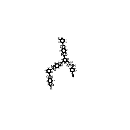 C#Cc1ccc(NC(=O)Nc2cc(-c3nc4cc5oc(-c6cccc(C)c6)nc5cc4o3)cc(-c3nc4cc5oc(-c6cccc(-c7nc8cc9oc(C)nc9cc8o7)c6)nc5cc4o3)c2)cc1